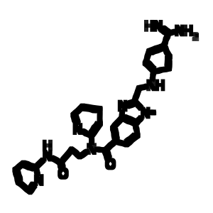 Cn1c(CNc2ccc(C(=N)N)cc2)nc2cc(C(=O)N(CCC(=O)Nc3ccccn3)c3ccccn3)ccc21